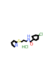 Cl.O=C(NCCCSc1ccccn1)c1ccc(Cl)cc1